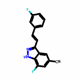 N#Cc1cc(F)c2[nH]nc(/C=C/c3cccc(F)c3)c2c1